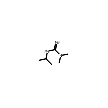 CC(C)NC(=N)N(C)C